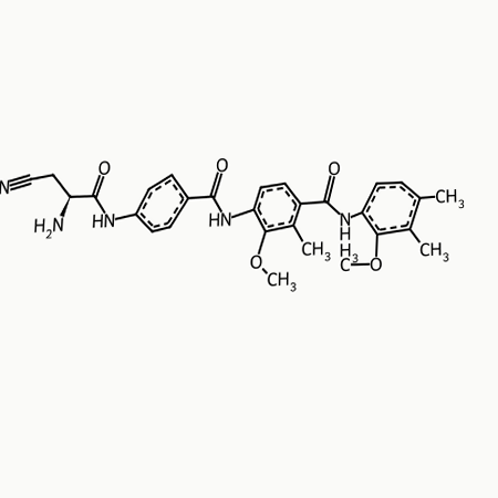 COc1c(NC(=O)c2ccc(NC(=O)c3ccc(NC(=O)[C@@H](N)CC#N)cc3)c(OC)c2C)ccc(C)c1C